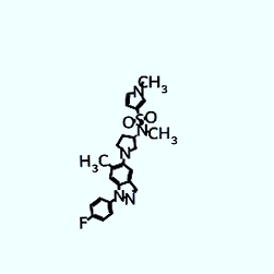 Cc1cc2c(cnn2-c2ccc(F)cc2)cc1N1CC[C@H](N(C)S(=O)(=O)c2ccn(C)c2)C1